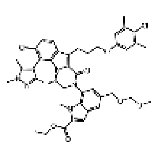 CCOC(=O)c1cc2cc(COCOC)cc(N3C[C@@H](C)n4c(c(CCCOc5cc(C)c(Cl)c(C)c5)c5ccc(Cl)c(-c6c(C)nn(C)c6C)c54)C3=O)c2n1C